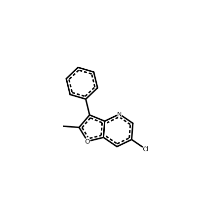 Cc1oc2cc(Cl)cnc2c1-c1ccccc1